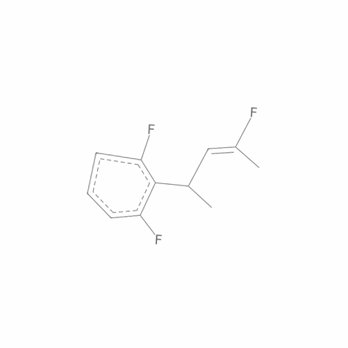 C/C(F)=C\C(C)c1c(F)cccc1F